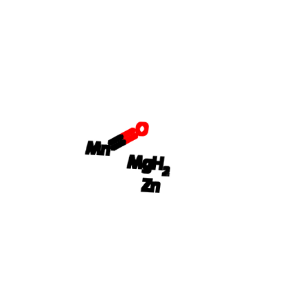 [MgH2].[O]=[Mn].[Zn]